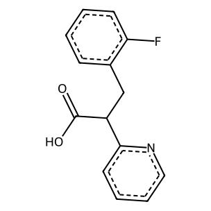 O=C(O)C(Cc1ccccc1F)c1ccccn1